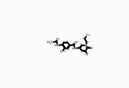 CC(=O)Nc1ccc(C(=O)Nc2cc(F)c(=O)n(CCF)c2)cc1Cl